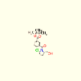 CC1(C)OB(c2ccc(Cl)c(C(=O)N3CCCC3CO)c2)OC1(C)C